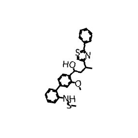 COc1cc(-c2ccccc2NSC)ccc1C(O)CC(C)c1csc(-c2ccccc2)n1